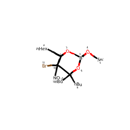 CCCCCCC1OB([O][Sn])OC(CCCC)(CCCC)C1(Br)[N+](=O)[O-]